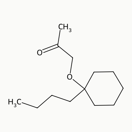 CCCCC1(OCC(C)=O)CCCCC1